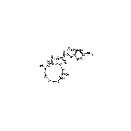 CC(C)[C@H]1COCCCNC(=O)CC[C@@H](NC(=O)NC(Cc2ccc(N)nc2)C(=O)O)C(=O)N1